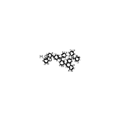 CC12C=CC=C(c3ccc(N(c4ccccc4)c4cccc(-c5cc6ccccc6c6cc(N(c7ccccc7)c7ccccc7)ccc56)c4)cc3)C1Oc1ccccc12